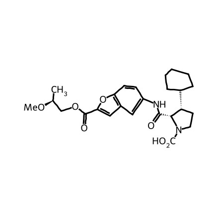 CO[C@@H](C)COC(=O)c1cc2cc(NC(=O)[C@@H]3[C@H](C4CCCCC4)CCN3C(=O)O)ccc2o1